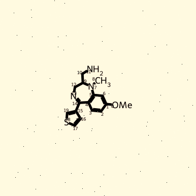 COc1ccc2c(c1)N(C)C(CN)CN=C2c1ccsc1